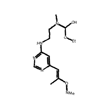 CCOC(O)N(C)CCNc1cc(/C=C(\C)ONC)ncn1